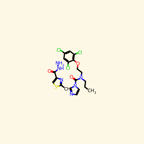 CCCN(CCOc1c(Cl)cc(Cl)cc1Cl)C(=O)n1ccnc1.Cc1nc(C(=O)NN)cs1